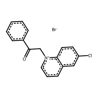 O=C(C[n+]1cccc2cc(Cl)ccc21)c1ccccc1.[Br-]